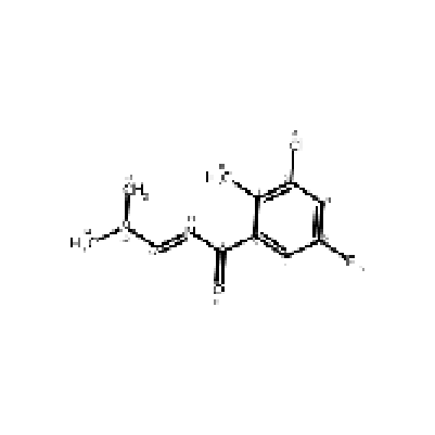 Cc1c(Cl)cc(F)cc1C(=O)/N=C/N(C)C